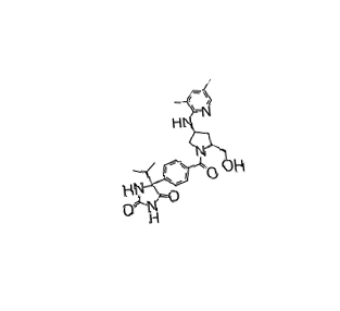 Cc1cnc(N[C@H]2C[C@@H](CO)N(C(=O)c3ccc([C@@]4(C(C)C)NC(=O)NC4=O)cc3)C2)c(C)c1